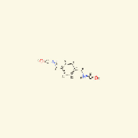 O=C=[N+]Cc1ccc(C[N+]=C=O)cc1